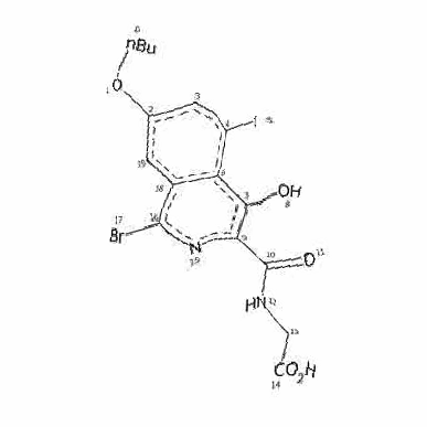 CCCCOc1cc(I)c2c(O)c(C(=O)NCC(=O)O)nc(Br)c2c1